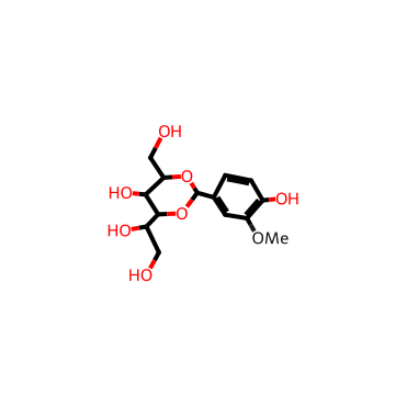 COc1cc(C2OC(CO)C(O)C(C(O)CO)O2)ccc1O